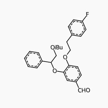 CC(C)COCC(Oc1cc(C=O)ccc1OCCc1ccc(F)cc1)c1ccccc1